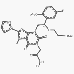 COCCO[C@@H](Cn1c(=O)n(CC(=O)NC(C)C)c(=O)c2c(C)c(-n3cccn3)sc21)c1cc(F)ccc1OC